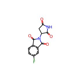 O=C1CC(N2C(=O)c3ccc(F)cc3C2=O)C(=O)N1